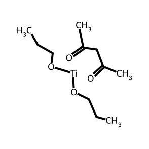 CC(=O)CC(C)=O.CCC[O][Ti][O]CCC